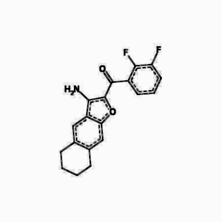 Nc1c(C(=O)c2cccc(F)c2F)oc2cc3c(cc12)CCCC3